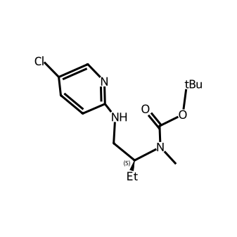 CC[C@@H](CNc1ccc(Cl)cn1)N(C)C(=O)OC(C)(C)C